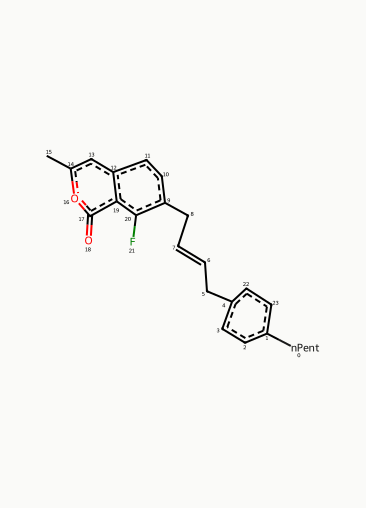 CCCCCc1ccc(C/C=C/Cc2ccc3cc(C)oc(=O)c3c2F)cc1